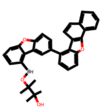 CC(C)(O)C(C)(C)OBc1cccc2oc3ccc(-c4cccc5oc6c7ccccc7ccc6c45)cc3c12